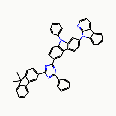 CC1(C)c2ccccc2-c2cc(-c3nc(-c4ccccc4)nc(-c4ccc5c(c4)c4ccc(-n6c7ccccc7c7cccnc76)cc4n5-c4ccccc4)n3)ccc21